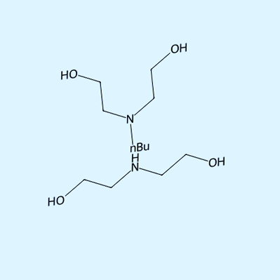 CCCCN(CCO)CCO.OCCNCCO